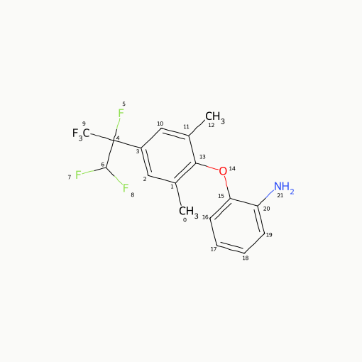 Cc1cc(C(F)(C(F)F)C(F)(F)F)cc(C)c1Oc1ccccc1N